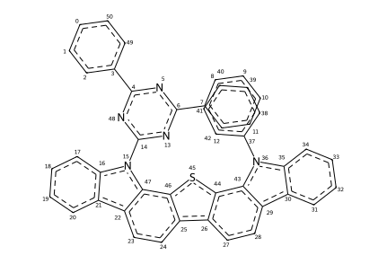 c1ccc(-c2nc(-c3ccccc3)nc(-n3c4ccccc4c4ccc5c6ccc7c8ccccc8n(-c8ccccc8)c7c6sc5c43)n2)cc1